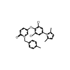 Cc1ccc(Cn2cc(Oc3c(Cl)cc(-n4c(C)ccc4C)cc3Cl)ccc2=O)cc1